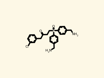 NCc1ccc(P(=O)(CCC(=O)Cc2cccc(Cl)c2)c2ccc(CN)cc2)cc1